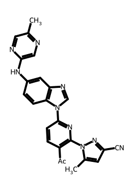 CC(=O)c1ccc(-n2cnc3cc(Nc4cnc(C)cn4)ccc32)nc1-n1nc(C#N)cc1C